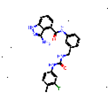 Cc1ccc(NC(=O)NCc2cccc(NC(=O)c3cccc4[nH]nc(N)c34)c2)cc1F